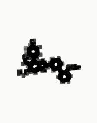 COc1ccncc1-c1cccc(-c2nc3cc(C)c(CC(=O)O)c(-c4ccc(Cl)cc4)c3s2)c1